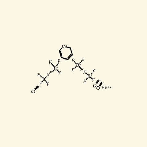 C1=C[CH+]CC=C1.F[B-](F)(F)F.F[B-](F)(F)F.F[B-](F)(F)F.F[B-](F)(F)F.[C]=O.[C]=O.[C]=O.[Fe+3]